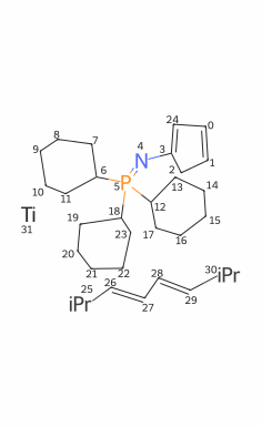 C1=CCC(N=P(C2CCCCC2)(C2CCCCC2)C2CCCCC2)=C1.CC(C)C=CC=CC(C)C.[Ti]